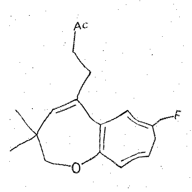 CC(=O)CCC1=CC(C)(C)COc2ccc(F)cc21